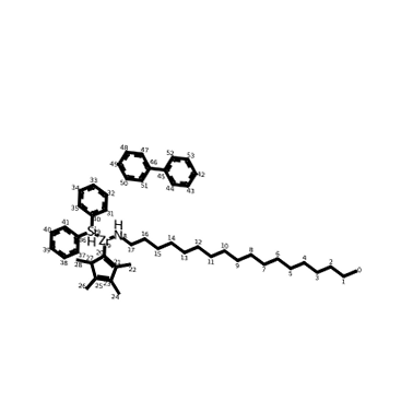 CCCCCCCCCCCCCCCCCC[NH][Zr]([C]1=C(C)C(C)=C(C)C1C)[SiH](c1ccccc1)c1ccccc1.c1ccc(-c2ccccc2)cc1